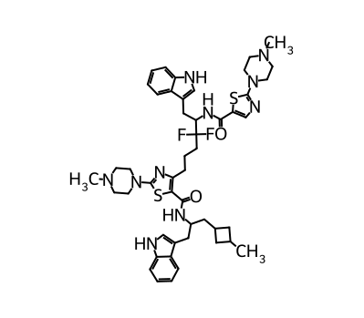 CC1CC(CC(Cc2c[nH]c3ccccc23)NC(=O)c2sc(N3CCN(C)CC3)nc2CCCC(F)(F)C(Cc2c[nH]c3ccccc23)NC(=O)c2cnc(N3CCN(C)CC3)s2)C1